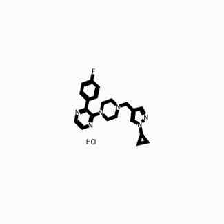 Cl.Fc1ccc(-c2nccnc2N2CCN(Cc3cnn(C4CC4)c3)CC2)cc1